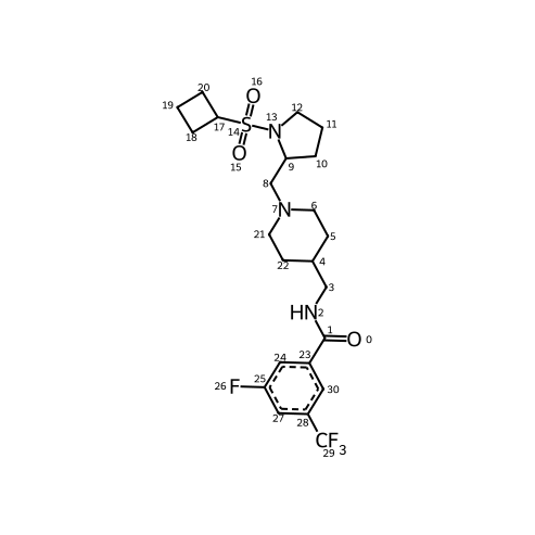 O=C(NCC1CCN(CC2CCCN2S(=O)(=O)C2CCC2)CC1)c1cc(F)cc(C(F)(F)F)c1